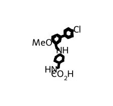 COc1ccc(-c2ccc(Cl)cc2)cc1CNC1CCC(CNC(=O)O)CC1